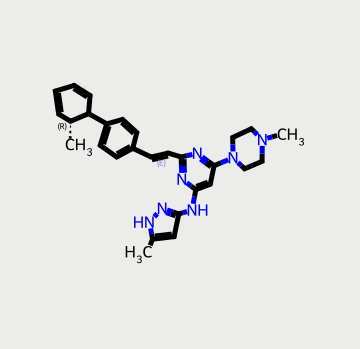 Cc1cc(Nc2cc(N3CCN(C)CC3)nc(/C=C/c3ccc(C4C=CC=C[C@H]4C)cc3)n2)n[nH]1